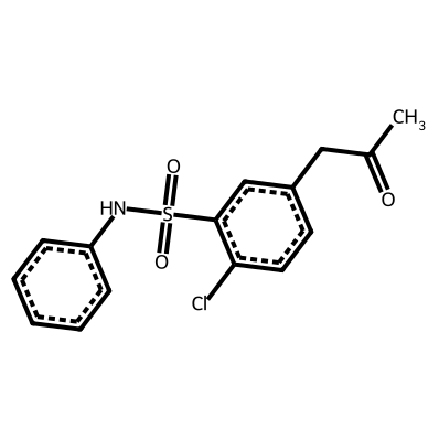 CC(=O)Cc1ccc(Cl)c(S(=O)(=O)Nc2ccccc2)c1